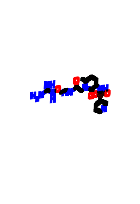 Cc1ccc(NS(=O)(=O)c2cccnc2)c(=O)n1CC(=O)NCCONC(=N)N